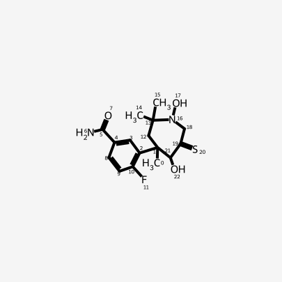 CC1(c2cc(C(N)=O)ccc2F)CC(C)(C)N(O)CC(=S)C1O